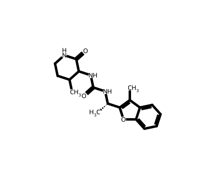 Cc1c([C@H](C)NC(=O)NC2C(=O)NCCC2C)oc2ccccc12